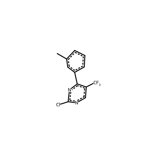 Cc1cccc(-c2nc(Cl)ncc2C(F)(F)F)c1